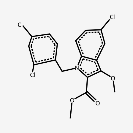 COC(=O)c1c(OC)c2cc(Cl)ccc2n1Cc1ccc(Cl)cc1Cl